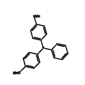 CSc1ccc(P(c2ccccc2)c2ccc(SC)cc2)cc1